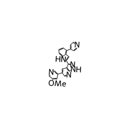 COc1cncc(-c2cnc3[nH]nc(-c4cc5c(-c6ccncc6)cccc5[nH]4)c3c2)c1